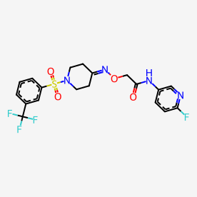 O=C(CON=C1CCN(S(=O)(=O)c2cccc(C(F)(F)F)c2)CC1)Nc1ccc(F)nc1